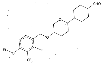 CCOc1ccc(COC2CCC(C3CCC(C=O)CC3)OC2)c(F)c1C(F)(F)F